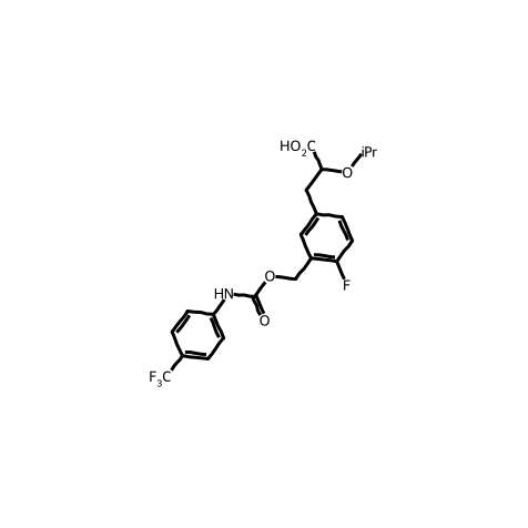 CC(C)OC(Cc1ccc(F)c(COC(=O)Nc2ccc(C(F)(F)F)cc2)c1)C(=O)O